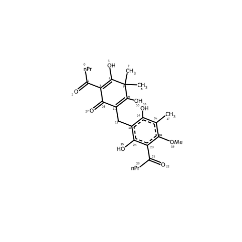 CCCC(=O)C1=C(O)C(C)(C)C(O)=C(Cc2c(O)c(C)c(OC)c(C(=O)CCC)c2O)C1=O